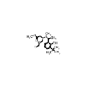 COC(=O)CC(COC=O)N(C)C(C)c1cccc(C(C)(C)C)c1O